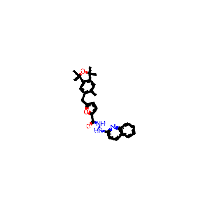 Cc1cc2c(cc1Cc1ccc(C(=O)NNc3ccc4ccccc4n3)o1)C(C)(C)OC2(C)C